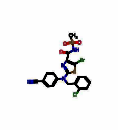 CS(=O)(=O)NC(=O)c1nc(N(Cc2ccccc2Cl)c2ccc(C#N)cc2)sc1Br